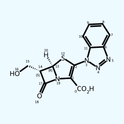 O=C(O)C1=C(n2nnc3ccccc32)S[C@@H]2[C@@H](CO)C(=O)N12